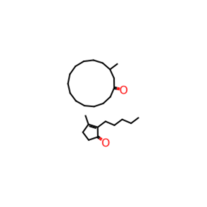 CC1CCCCCCCCCCCCC(=O)C1.CCCCCC1=C(C)CCC1=O